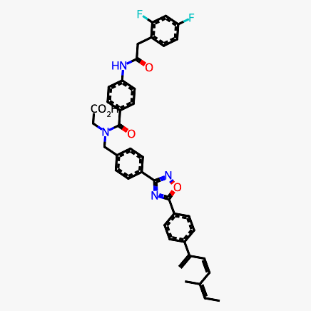 C=C(/C=C\C(C)=C/C)c1ccc(-c2nc(-c3ccc(CN(CC(=O)O)C(=O)c4ccc(NC(=O)Cc5ccc(F)cc5F)cc4)cc3)no2)cc1